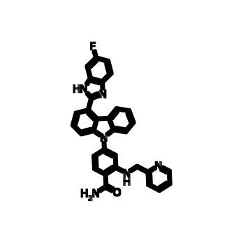 NC(=O)c1ccc(-n2c3ccccc3c3c(-c4nc5ccc(F)cc5[nH]4)cccc32)cc1NCc1ccccn1